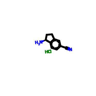 Cl.N#Cc1ccc2c(c1)CC[C@@H]2N